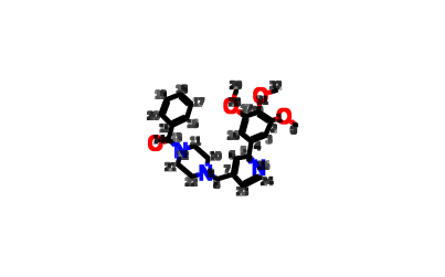 COc1cc(-c2cc(CN3CCN(C(=O)c4ccccc4)CC3)ccn2)cc(OC)c1OC